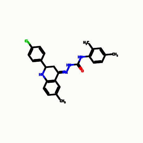 Cc1ccc(NC(=O)NN=C2CC(c3ccc(Cl)cc3)Nc3ccc(C)cc32)c(C)c1